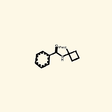 CCCCCC1(NC(=O)c2ccccc2)CCC1